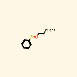 CCCCCCCOSc1ccccc1